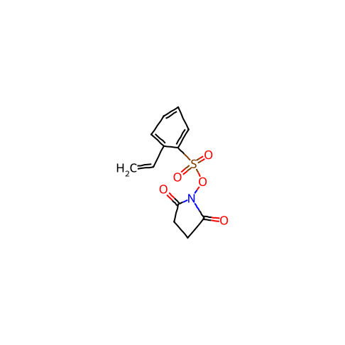 C=Cc1ccccc1S(=O)(=O)ON1C(=O)CCC1=O